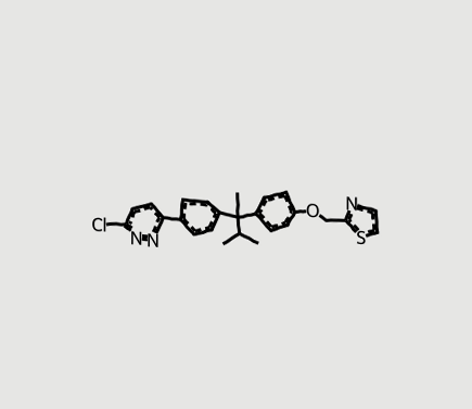 CC(C)C(C)(c1ccc(OCc2nccs2)cc1)c1ccc(-c2ccc(Cl)nn2)cc1